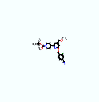 COCc1cc(OCc2ccc(C#N)cc2F)nc(C2CCN(C(=O)OC(C)(C)C)CC2)c1